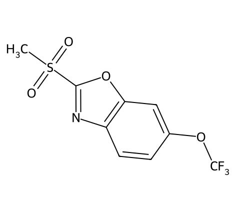 CS(=O)(=O)c1nc2ccc(OC(F)(F)F)cc2o1